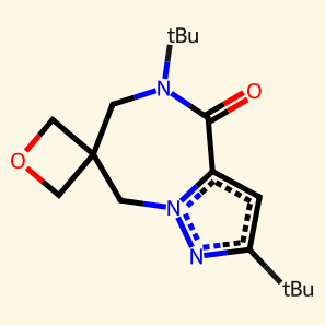 CC(C)(C)c1cc2n(n1)CC1(COC1)CN(C(C)(C)C)C2=O